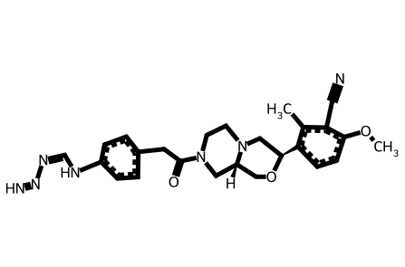 COc1ccc([C@@H]2CN3CCN(C(=O)Cc4ccc(N/C=N\N=N)cc4)C[C@H]3CO2)c(C)c1C#N